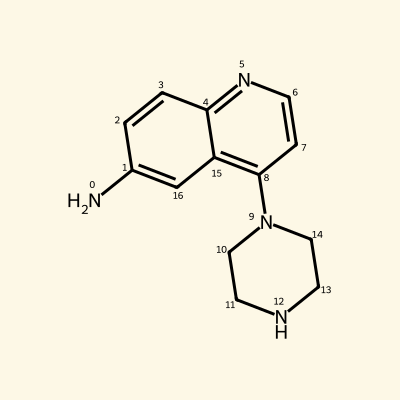 Nc1ccc2nccc(N3CCNCC3)c2c1